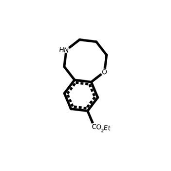 CCOC(=O)c1ccc2c(c1)OCCCNC2